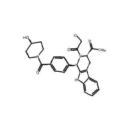 COC(=O)[C@H]1Cc2c([nH]c3ccccc23)[C@@H](c2ccc(C(=O)N3CCC(O)CC3)cc2)N1C(=O)CCl